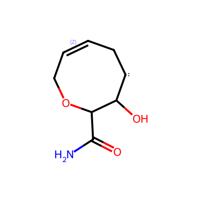 NC(=O)C1OC/C=C\C[C]C1O